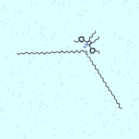 CCCCCC1=C(c2cccc(CC)c2)[N+](=[N-])C(c2cccc(CC)c2)=C1CCCC.CCCCCCCCCCCCCCCCCCCCCCCCCC[CH2][Pd][CH2]CCCCCCCCCCCCCCCCCCCCCCCCCC